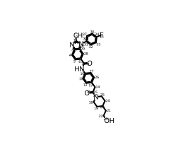 Cc1nc2ccc(C(=O)Nc3ccc(CC(=O)N4CCC(CCO)CC4)cc3)cc2n1-c1ccc(F)cc1